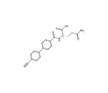 C#Cc1ccc(-c2ccc(C(=O)N[C@@H](CCC(N)=O)C(=O)O)cc2)cc1